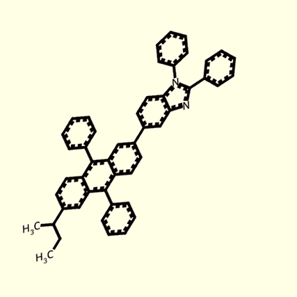 CCC(C)c1ccc2c(-c3ccccc3)c3cc(-c4ccc5c(c4)nc(-c4ccccc4)n5-c4ccccc4)ccc3c(-c3ccccc3)c2c1